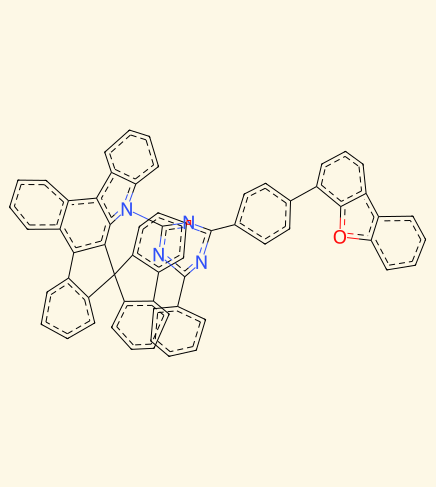 c1ccc(-c2nc(-c3ccc(-c4cccc5c4oc4ccccc45)cc3)nc(-n3c4ccccc4c4c5ccccc5c5c(c43)C3(c4ccccc4-c4ccccc43)c3ccccc3-5)n2)cc1